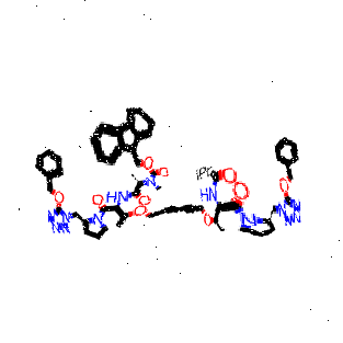 CC(C)C(=O)N[C@H](C(=O)N1CCC[C@H]1Cn1nnnc1OCc1ccccc1)[C@@H](C)OCC#CC#CCOC(C)[C@H](NC(=O)[C@H](C)N(C)C(=O)OCC1c2ccccc2-c2ccccc21)C(=O)N1CCC[C@H]1Cn1nnnc1OCc1ccccc1